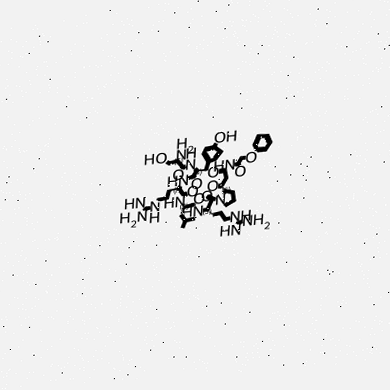 CC(C)C[C@H](NC(=O)[C@@H](CCCNC(=N)N)NC(=O)[C@H](Cc1ccc(O)cc1)NC(=O)[C@@H](N)CO)C(=O)N[C@@H](CCCNC(=N)N)C(=O)N1CCC[C@H]1C(=O)CC(=O)NC(=O)COc1ccccc1